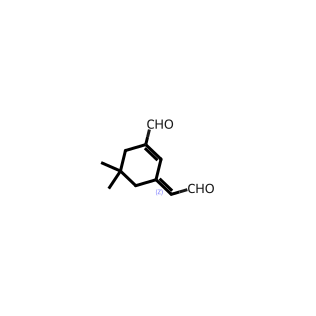 CC1(C)CC(C=O)=C/C(=C\C=O)C1